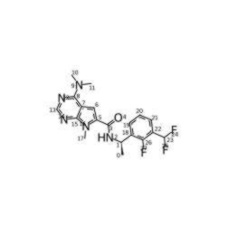 C[C@@H](NC(=O)c1cc2c(N(C)C)ncnc2n1C)c1cccc(C(F)F)c1F